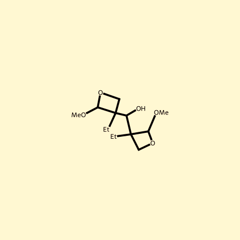 CCC1(C(O)C2(CC)COC2OC)COC1OC